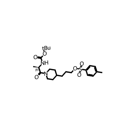 Cc1ccc(S(=O)(=O)OCCCC2CCN(C(=O)[C@@H](C)NC(=O)OC(C)(C)C)CC2)cc1